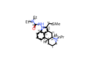 CCCN1CCC[C@@H]2c3cccc4c3c(c(CSC)n4NC(=O)N(CC)CC)C[C@H]21